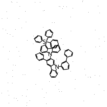 c1ccc(-c2cccc(-n3c4ccccc4c4cc(-c5ccccc5)c(-n5c6ccccc6c6c([Si](c7ccccc7)(c7ccccc7)c7ccccc7)cccc65)cc43)c2)cc1